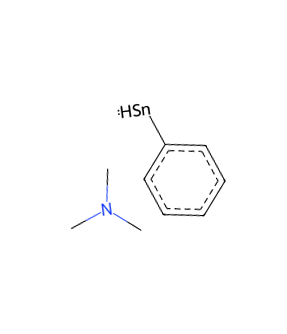 CN(C)C.[SnH][c]1ccccc1